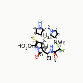 CN[C@H]1CCN(C[C@@H]2C[C@H](SC3=C(C(=O)O)N4C(=O)[C@H]([C@@H](C)NC(=O)C(F)F)[C@H]4[C@H]3C)CN2)C1